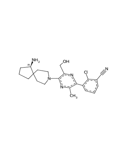 Cc1nc(N2CCC3(CCC[C@H]3N)CC2)c(CO)nc1-c1cccc(C#N)c1Cl